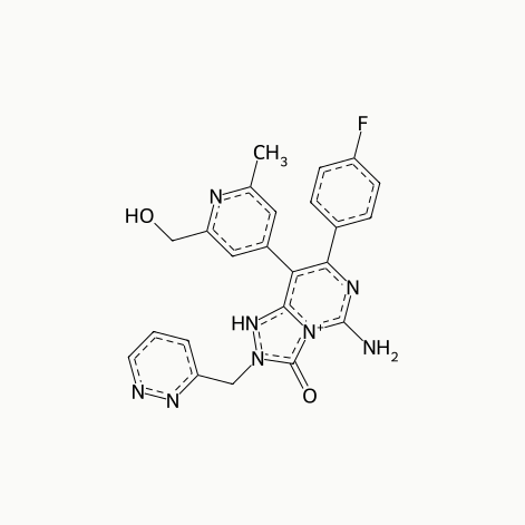 Cc1cc(-c2c(-c3ccc(F)cc3)nc(N)[n+]3c(=O)n(Cc4cccnn4)[nH]c23)cc(CO)n1